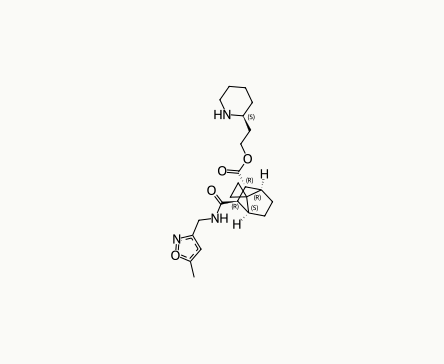 Cc1cc(CNC(=O)[C@H]2[C@H](C(=O)OCC[C@@H]3CCCCN3)[C@H]3CC[C@@H]2C32CC2)no1